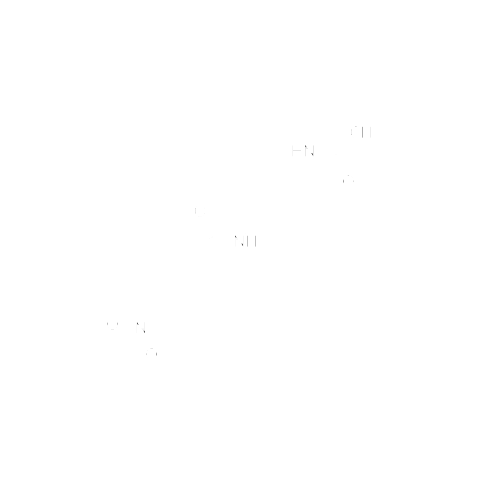 CC(=O)Nc1ccc(NC(=O)c2ccc([N+](=O)[O-])cc2)cc1